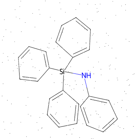 c1ccc(N[Si](c2ccccc2)(c2ccccc2)c2ccccc2)cc1